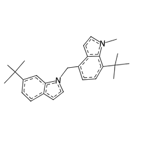 Cn1ccc2c(Cn3ccc4ccc(C(C)(C)C)cc43)ccc(C(C)(C)C)c21